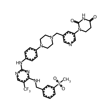 CS(=O)(=O)c1cccc(CNc2nc(Nc3ccc(N4CCN(Cc5cncc(N6CCC(=O)NC6=O)c5)CC4)cc3)ncc2C(F)(F)F)c1